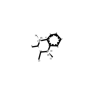 CC[P@](C)c1ccccc1[P@@](C)CC